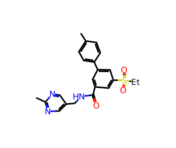 CCS(=O)(=O)c1cc(C(=O)NCc2cnc(C)nc2)cc(-c2ccc(C)cc2)c1